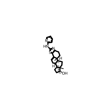 C[C@]12CC[C@H]3[C@@H](CC=C4c5sc(Nc6ccccn6)nc5CC[C@@]43C)[C@@H]1CC[C@@H]2O